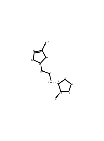 C[C@@H]1CCC[C@H]1OCC[C@H]1CC=C(I)C1